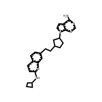 Nc1ncnc2c1ccn2C1CCC(CCc2ccc3ccc(NC4CCC4)nc3c2)C1